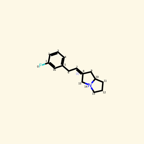 Fc1cccc(C/C=C2/CC3CCCN3C2)c1